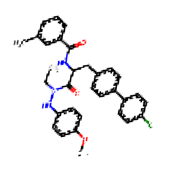 CCN(Nc1ccc(OC)cc1)C(=O)C(Cc1ccc(-c2ccc(Cl)cc2)cc1)NC(=O)c1cccc(C)c1